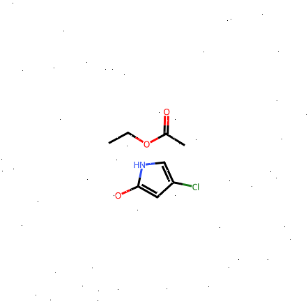 CCOC(C)=O.[O]c1cc(Cl)c[nH]1